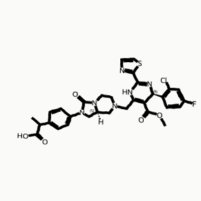 COC(=O)C1=C(CN2CCN3C(=O)N(c4ccc(C(C)C(=O)O)cc4)C[C@@H]3C2)NC(c2nccs2)=N[C@H]1c1ccc(F)cc1Cl